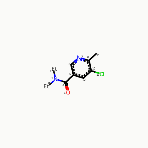 CCN(CC)C(=O)c1cnc(C)c(Cl)c1